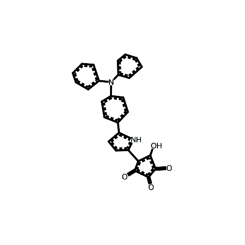 O=c1c(O)c(-c2ccc(-c3ccc(N(c4ccccc4)c4ccccc4)cc3)[nH]2)c(=O)c1=O